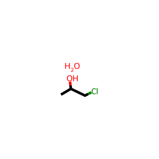 CC(O)CCl.O